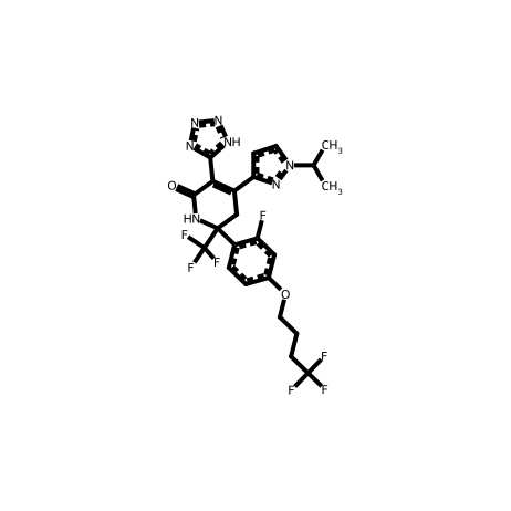 CC(C)n1ccc(C2=C(c3nnn[nH]3)C(=O)NC(c3ccc(OCCCC(F)(F)F)cc3F)(C(F)(F)F)C2)n1